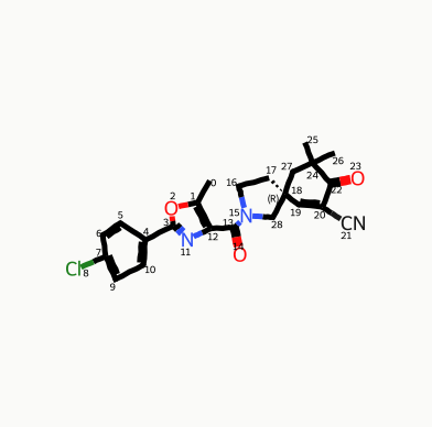 Cc1oc(-c2ccc(Cl)cc2)nc1C(=O)N1CC[C@]2(C=C(C#N)C(=O)C(C)(C)C2)C1